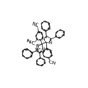 N#Cc1ccc(C2(C3(c4ccc(C#N)cc4C#N)N=C(c4ccccc4)C(c4ccccc4)=N3)N=C(c3ccccc3)C(c3ccccc3)=N2)c(C#N)c1